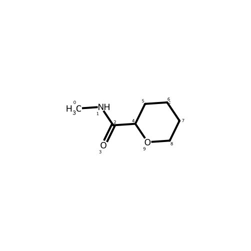 CNC(=O)C1C[C]CCO1